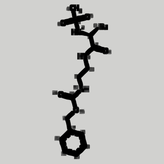 CC[C@H](C)[C@H](NS(C)(=O)=O)C(=O)NCCNC(=O)OCc1ccccc1